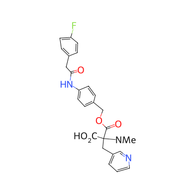 CNC(Cc1cccnc1)(C(=O)O)C(=O)OCc1ccc(NC(=O)Cc2ccc(F)cc2)cc1